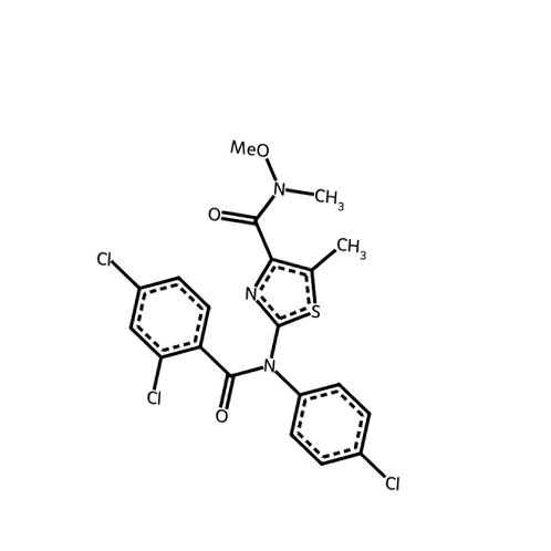 CON(C)C(=O)c1nc(N(C(=O)c2ccc(Cl)cc2Cl)c2ccc(Cl)cc2)sc1C